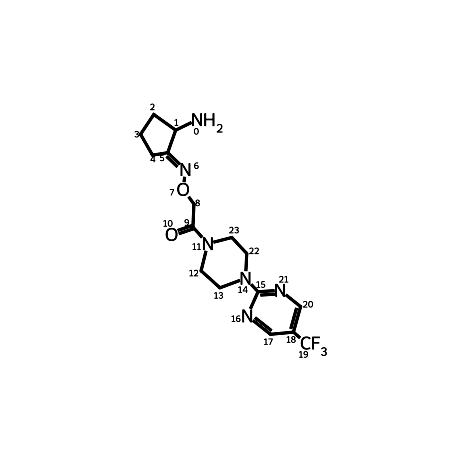 NC1CCCC1=NOCC(=O)N1CCN(c2ncc(C(F)(F)F)cn2)CC1